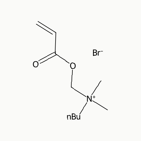 C=CC(=O)OC[N+](C)(C)CCCC.[Br-]